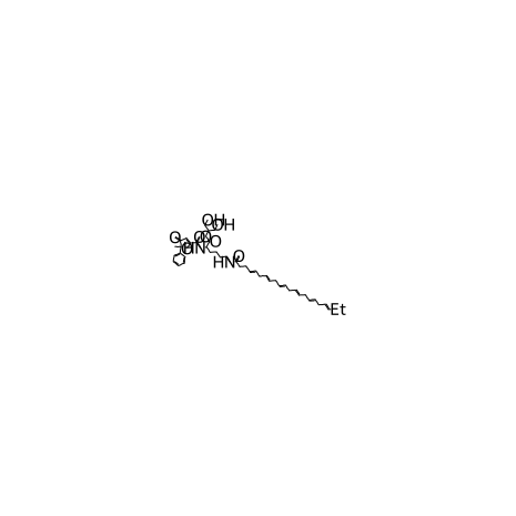 CCC=CCC=CCC=CCC=CCC=CCC=CCCC(=O)NCCCCC(NC(=O)C1=CC(=O)C(C)(c2ccccc2)O1)C(=O)OC(CO)CO